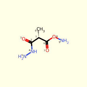 C[C@@H](C(=O)NN)C(=O)ON